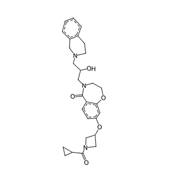 O=C1c2ccc(OC3CN(C(=O)C4CC4)C3)cc2OCCN1CC(O)CN1CCc2ccccc2C1